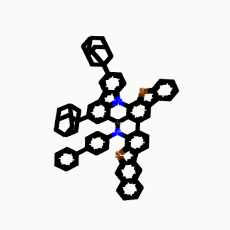 c1ccc(-c2ccc(N3B4c5c(cc6c(sc7ccccc76)c5-n5c6ccc(C78CC9CC(CC(C9)C7)C8)cc6c6cc(C78CC9CC(CC(C9)C7)C8)cc4c65)-c4ccc5c(sc6cc7ccccc7cc65)c43)cc2)cc1